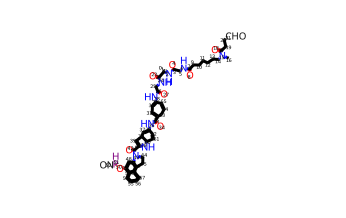 C[C@H](NC(=O)CNC(=O)CCCCCCN(C)C(=O)CCC=O)C(=O)NCC(=O)NC1=CC=C(C(=O)NC2=CC3C=C(C(=O)N4CCc5c4cc(OPN=O)c4ccccc54)NC3C=C2)CC=C1